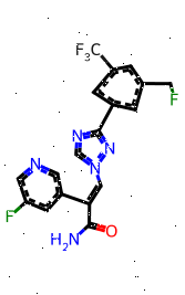 NC(=O)C(=Cn1cnc(-c2cc(CF)cc(C(F)(F)F)c2)n1)c1cncc(F)c1